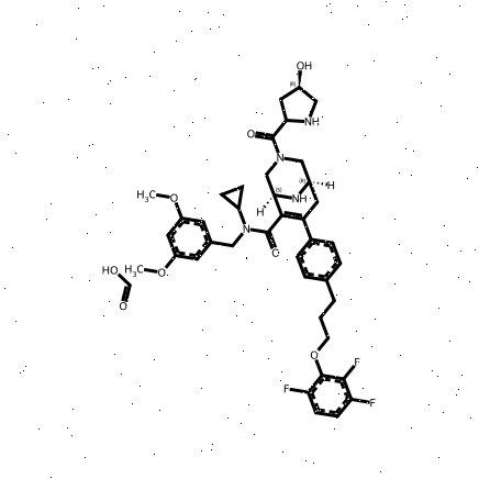 COc1cc(CN(C(=O)C2=C(c3ccc(CCCOc4c(F)ccc(F)c4F)cc3)C[C@@H]3CN(C(=O)C4C[C@@H](O)CN4)C[C@H]2N3)C2CC2)cc(OC)c1.O=CO